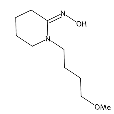 COCCCCN1CCCCC1=NO